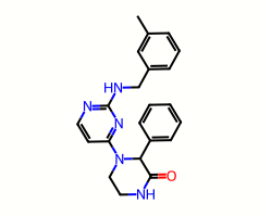 Cc1cccc(CNc2nccc(N3CCNC(=O)C3c3ccccc3)n2)c1